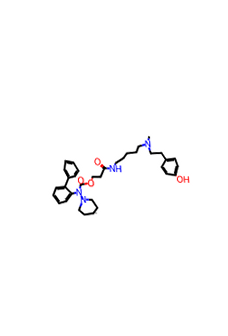 CN(CCCCCNC(=O)CCOC(=O)N(c1ccccc1-c1ccccc1)N1CC[CH]CC1)CCc1ccc(O)cc1